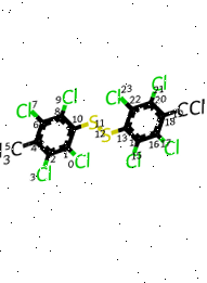 Clc1c(Cl)c(C(Cl)(Cl)Cl)c(Cl)c(Cl)c1SSc1c(Cl)c(Cl)c(C(Cl)(Cl)Cl)c(Cl)c1Cl